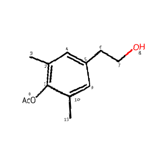 CC(=O)Oc1c(C)cc(CCO)cc1C